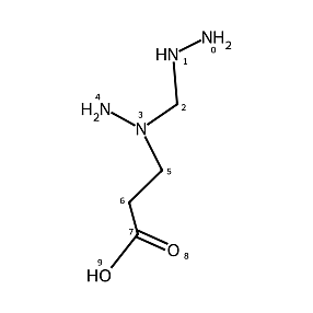 NNCN(N)CCC(=O)O